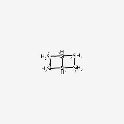 [SiH2]1[SiH2][SiH]2[SiH2][SiH2][SiH]12